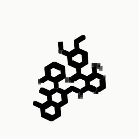 C=C1c2c(C)cccc2C=C(CNc2ncnc(N)c2C(=N)c2ccc(CC)c(OC)c2)N1c1ccccc1F